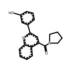 O=C(c1cc(-c2cccc(O)c2)nc2ccccc12)N1CCCC1